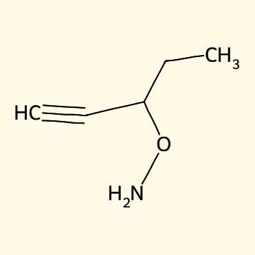 C#CC(CC)ON